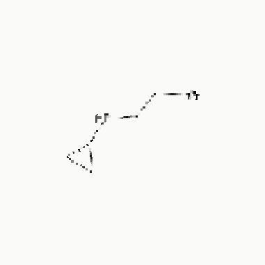 CCCCCPC1CC1